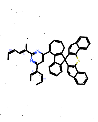 C/C=C\C=C(/C)c1nc(C2=CC=CCC3=C2c2ccccc2C32c3ccc4ccccc4c3Sc3c2ccc2ccccc32)cc(C(/C=C\C)=C/C)n1